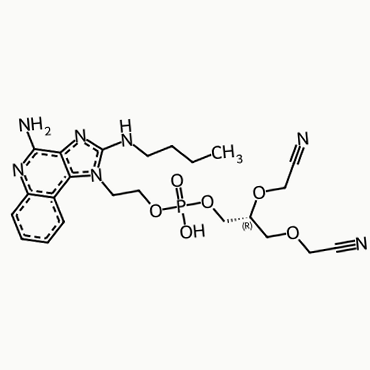 CCCCNc1nc2c(N)nc3ccccc3c2n1CCOP(=O)(O)OC[C@@H](COCC#N)OCC#N